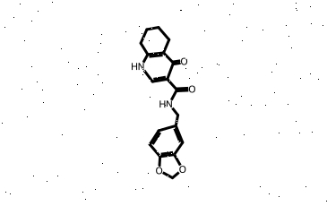 O=C(NCc1ccc2c(c1)OCO2)c1c[nH]c2c(c1=O)CCCC2